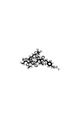 CCC[C@H](NC(=O)[C@@H](NC(=O)CCCC(=O)OC(C)(C)C)[C@@H](C)CC)C(=O)N[C@@H](CC(C)C)[C@@H](O)C(F)(F)C(=O)NCc1ccc(N)cc1